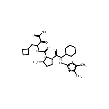 Cc1nc(N[C@H](C(=O)N2CCC(C)[C@H]2C(=O)NC(CC2CCC2)C(=O)C(N)=O)C2CCCCC2)sc1C